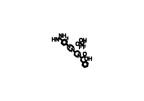 N=C(N)c1ccc(N2CCN(C3CCN(C(Cc4ccccc4)C(=O)O)CC3)CC2)cc1.O=C(O)C(F)(F)F